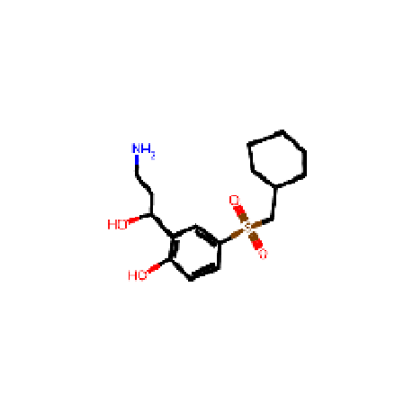 NCCC(O)c1cc(S(=O)(=O)CC2CCCCC2)ccc1O